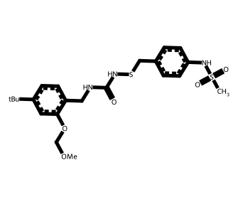 COCOc1cc(C(C)(C)C)ccc1CNC(=O)NSCc1ccc(NS(C)(=O)=O)cc1